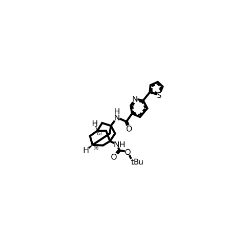 CC(C)(C)OC(=O)NC12C[C@H]3C[C@@H](C1)CC(NC(=O)c1ccc(-c4cccs4)nc1)(C3)C2